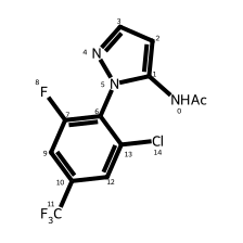 CC(=O)Nc1ccnn1-c1c(F)cc(C(F)(F)F)cc1Cl